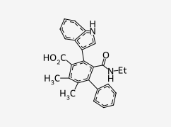 CCNC(=O)c1c(-c2ccccc2)c(C)c(C)c(C(=O)O)c1-c1c[nH]c2ccccc12